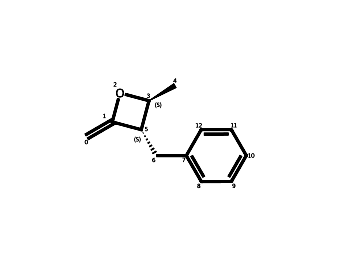 C=C1O[C@@H](C)[C@@H]1Cc1ccccc1